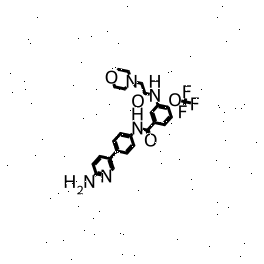 Nc1ccc(-c2ccc(NC(=O)c3ccc(OC(F)(F)F)c(NC(=O)CN4CCOCC4)c3)cc2)cn1